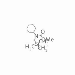 COC(=O)N(C[Si](C)(C)C)C1CCCCC1